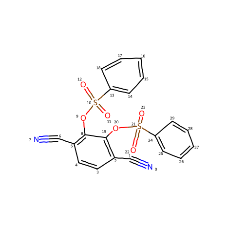 N#Cc1ccc(C#N)c(OS(=O)(=O)c2ccccc2)c1OS(=O)(=O)c1ccccc1